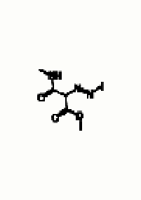 CNC(=O)C(N=NI)C(=O)OC